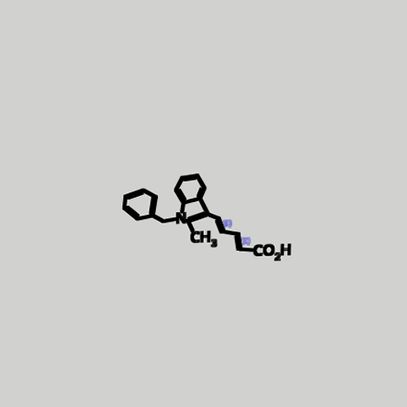 Cc1c(/C=C/C=C/C(=O)O)c2ccccc2n1Cc1ccccc1